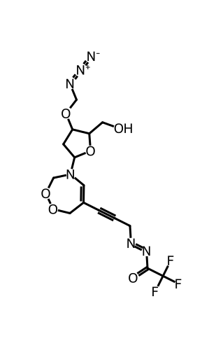 [N-]=[N+]=NCOC1CC(N2C=C(C#CCN=NC(=O)C(F)(F)F)COOC2)OC1CO